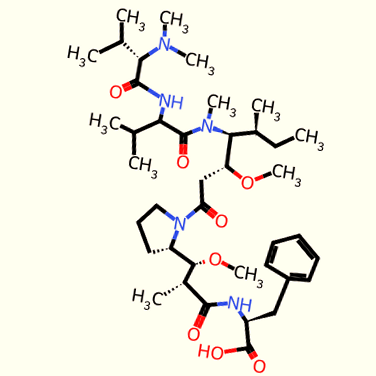 CC[C@H](C)[C@@H]([C@@H](CC(=O)N1CCC[C@H]1[C@H](OC)[C@@H](C)C(=O)N[C@@H](Cc1ccccc1)C(=O)O)OC)N(C)C(=O)C(NC(=O)[C@H](C(C)C)N(C)C)C(C)C